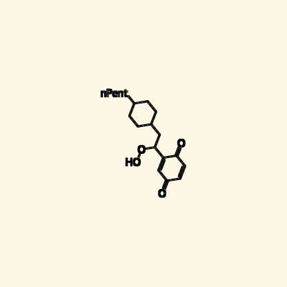 CCCCCC1CCC(CC(OO)C2=CC(=O)C=CC2=O)CC1